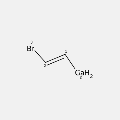 [GaH2][CH]=CBr